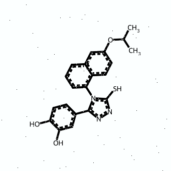 CC(C)Oc1ccc2c(-n3c(S)nnc3-c3ccc(O)c(O)c3)cccc2c1